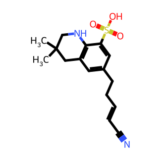 CC1(C)CNc2c(cc(CCC=CC#N)cc2S(=O)(=O)O)C1